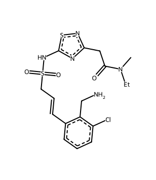 CCN(C)C(=O)Cc1nsc(NS(=O)(=O)CC=Cc2cccc(Cl)c2CN)n1